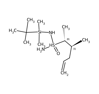 C=CC[C@H](C)[C@@H](C)[SH](N)(=O)N[Si](C)(C)C(C)(C)C